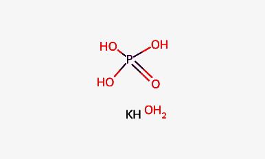 O.O=P(O)(O)O.[KH]